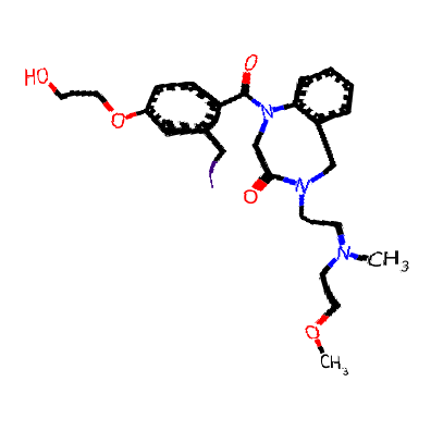 COCCN(C)CCN1Cc2ccccc2N(C(=O)c2ccc(OCCO)cc2CI)CC1=O